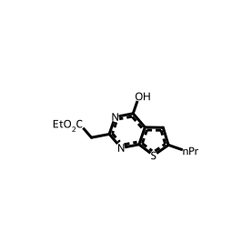 CCCc1cc2c(O)nc(CC(=O)OCC)nc2s1